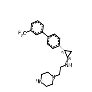 FC(F)(F)c1cccc(-c2ccc([C@@H]3C[C@H]3NCCN3CCNCC3)cc2)c1